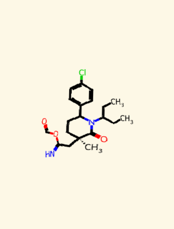 CCC(CC)N1C(=O)[C@@](C)(CC(=N)OC=O)CCC1c1ccc(Cl)cc1